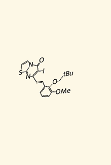 COc1cccc(/C=C/c2nc3sccn3c(=O)c2I)c1OCC(C)(C)C